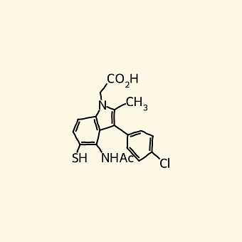 CC(=O)Nc1c(S)ccc2c1c(-c1ccc(Cl)cc1)c(C)n2CC(=O)O